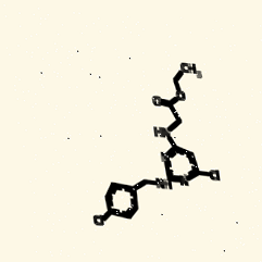 CCOC(=O)CNc1cc(Cl)nc(NCc2ccc(Cl)cc2)n1